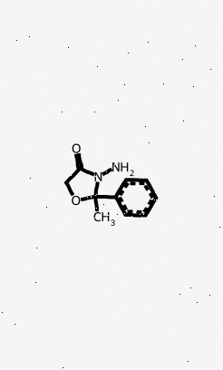 CC1(c2ccccc2)OCC(=O)N1N